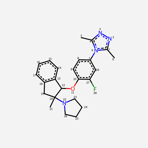 Cc1nnc(C)n1-c1ccc(OC2c3ccccc3CC2(C)N2CCCC2)c(F)c1